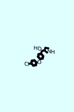 OC(c1ccc(Oc2ccc(Cl)cc2)cc1)C1CCNC1